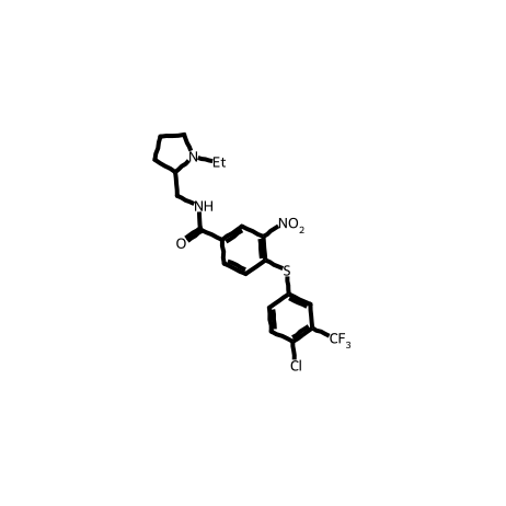 CCN1CCCC1CNC(=O)c1ccc(Sc2ccc(Cl)c(C(F)(F)F)c2)c([N+](=O)[O-])c1